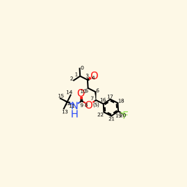 CC(C)C(=O)CC[C@H](OC(=O)NC(C)(C)C)c1ccc(F)cc1